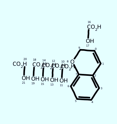 C1=Cc2ccccc2OC1.O=C(O)O.O=C(O)O.O=C(O)O.O=C(O)O.O=C(O)O.O=C(O)O